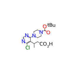 CC(CC(=O)O)c1c(Cl)ncnc1N1CCN(C(=O)OC(C)(C)C)CC1